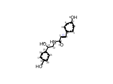 O=C(/C=C/c1ccc(O)cc1)NCC(O)c1ccc(O)cc1